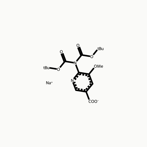 COc1cc(C(=O)[O-])cnc1N(C(=O)OC(C)(C)C)C(=O)OC(C)(C)C.[Na+]